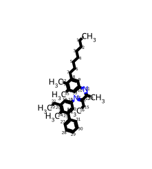 CCCCCCCCc1cc(N=C(C)C(CC)=Nc2cc(CC)c(C)c(-c3ccccc3)c2)cc(C)c1C